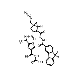 CC(NC(=O)[C@@H]1C[C@]2(CN=[N+]=[N-])C[C@@H]2N1C(=O)CNC(=O)c1ccc2c(c1)-c1ccccc1C2(F)F)c1cc(C(=N)NC(=O)O)cs1